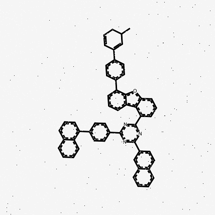 CC1C=C(c2ccc(-c3cccc4c3oc3cccc(-c5nc(-c6ccc(-c7cccc8ccccc78)cc6)nc(-c6ccc7ccccc7c6)n5)c34)cc2)C=CC1